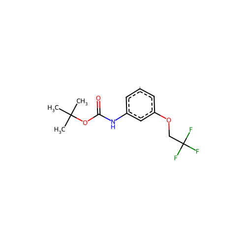 CC(C)(C)OC(=O)Nc1c[c]cc(OCC(F)(F)F)c1